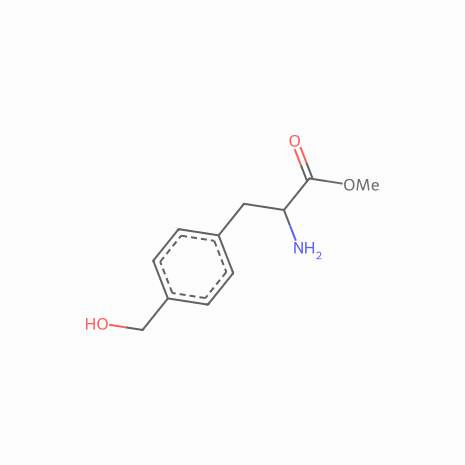 COC(=O)C(N)Cc1ccc(CO)cc1